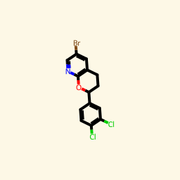 Clc1ccc(C2CCc3cc(Br)cnc3O2)cc1Cl